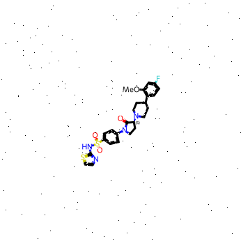 COc1cc(F)ccc1C1CCN([C@H]2CCN(c3ccc(S(=O)(=O)Nc4nccs4)cc3)C2=O)CC1